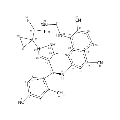 Cc1cc(C#N)ccc1[C@H](Nc1cc(C#N)c2ncc(C#N)c(NCC(C)(C)C)c2c1)C1=CN(C2(C(F)F)CC2)NN1